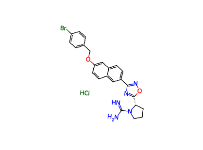 Cl.N=C(N)N1CCC[C@H]1c1nc(-c2ccc3cc(OCc4ccc(Br)cc4)ccc3c2)no1